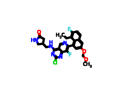 CCc1c(F)ccc2cc(OCOC)cc(-c3ncc4c(NCC5CNC(=O)C5)nc(Cl)nc4c3F)c12